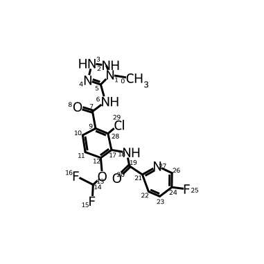 CN1NNN=C1NC(=O)c1ccc(OC(F)F)c(NC(=O)c2ccc(F)cn2)c1Cl